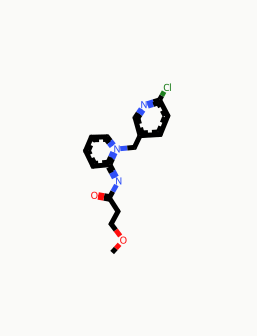 COCCC(=O)/N=c1\ccccn1Cc1ccc(Cl)nc1